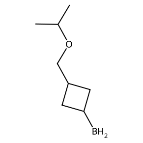 BC1CC(COC(C)C)C1